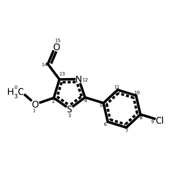 COc1sc(-c2ccc(Cl)cc2)nc1C=O